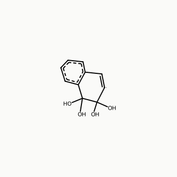 OC1(O)[C]=Cc2ccccc2C1(O)O